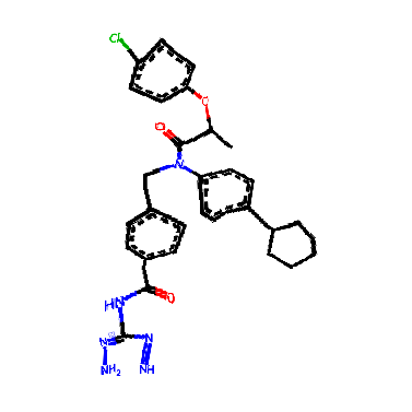 CC(Oc1ccc(Cl)cc1)C(=O)N(Cc1ccc(C(=O)N/C(N=N)=N/N)cc1)c1ccc(C2CCCCC2)cc1